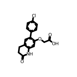 O=C(O)COc1cc2c(cc1-c1ccc(Cl)cc1)CCC(=O)N2